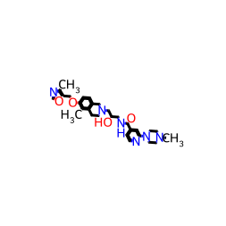 Cc1ncoc1COc1ccc2c(c1C)CCN(C[C@@H](O)CNC(=O)c1ccnc(N3CCN(C)CC3)c1)C2